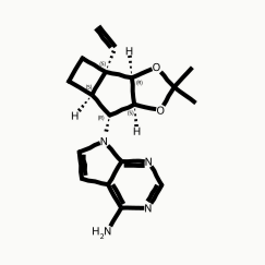 C=C[C@@]12CC[C@@H]1[C@@H](n1ccc3c(N)ncnc31)[C@@H]1OC(C)(C)O[C@@H]12